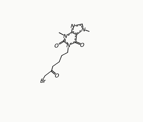 Cn1cnc2c1c(=O)n(CCCCC(=O)CBr)c(=O)n2C